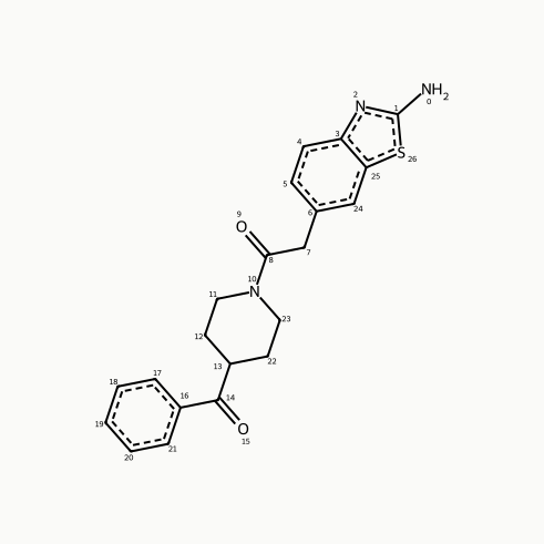 Nc1nc2ccc(CC(=O)N3CCC(C(=O)c4ccccc4)CC3)cc2s1